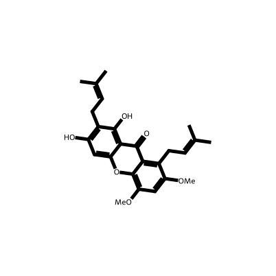 COc1cc(OC)c2oc3cc(O)c(CC=C(C)C)c(O)c3c(=O)c2c1CC=C(C)C